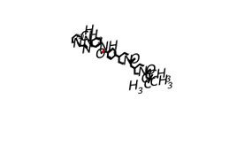 C[C@H]1CCCN1Cc1nc2cc(NC(=O)c3ccc(C4CCN(C(=O)CC5CCN(C(=O)OC(C)(C)C)CC5)CC4)cc3)ccc2[nH]1